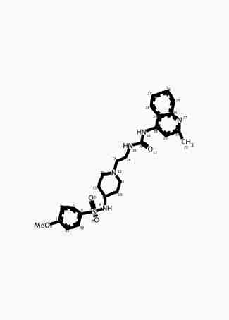 COc1ccc(S(=O)(=O)NC2CCN(CCNC(=O)Nc3cc(C)nc4ccccc34)CC2)cc1